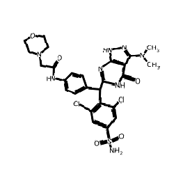 CN(C)c1n[nH]c2nc(C(c3ccc(NC(=O)CN4CCOCC4)cc3)c3c(Cl)cc(S(N)(=O)=O)cc3Cl)[nH]c(=O)c12